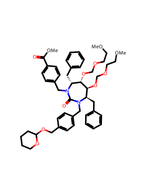 COCCOCO[C@@H]1[C@@H](OCOCCOC)[C@@H](Cc2ccccc2)N(Cc2ccc(C(=O)OC)cc2)C(=O)N(Cc2ccc(COC3CCCCO3)cc2)[C@@H]1Cc1ccccc1